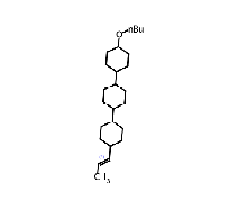 C/C=C/C1CCC(C2CCC(C3CCC(OCCCC)CC3)CC2)CC1